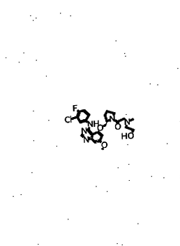 COc1cc(OC[C@@H]2CCCN2C(=O)CN(C)CCO)c2c(Nc3ccc(F)c(Cl)c3)ncnc2c1